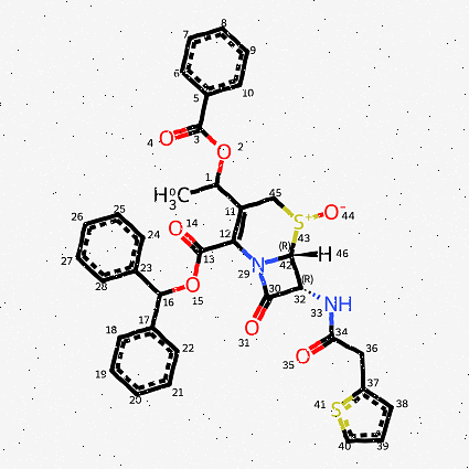 CC(OC(=O)c1ccccc1)C1=C(C(=O)OC(c2ccccc2)c2ccccc2)N2C(=O)[C@@H](NC(=O)Cc3cccs3)[C@H]2[S+]([O-])C1